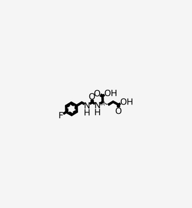 O=C(O)CC[C@H](NC(=O)NCc1ccc(F)cc1)C(=O)O